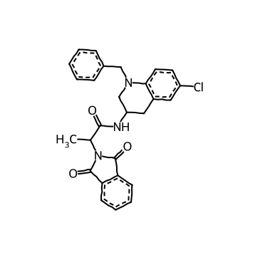 CC(C(=O)NC1Cc2cc(Cl)ccc2N(Cc2ccccc2)C1)N1C(=O)c2ccccc2C1=O